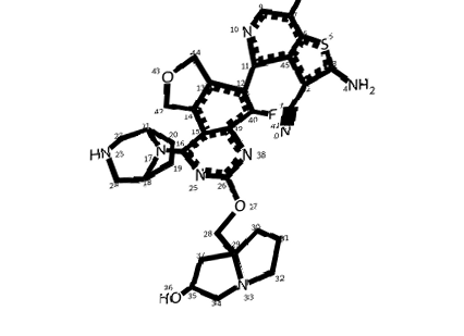 N#Cc1c(N)sc2c(F)cnc(-c3c4c(c5c(N6C7CCC6CNC7)nc(OCC67CCCN6CC(O)C7)nc5c3F)COC4)c12